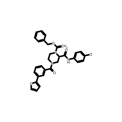 C=C(OCc1ccccc1)N1CCN(C(=O)c2cccc(-c3ccco3)c2)CC1C(=O)Nc1ccc(Cl)cc1